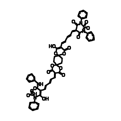 O=C1OC2(CCC3(CC2)OC(=O)C(/C=C/C=C/C=C2C(=O)N(c4ccccc4)S(=O)(=O)N(c4ccccc4)C2=O)=C(O)O3)OC(=O)C1=C/C=C/C=C/C(C(=O)Nc1ccccc1)=C(\O)N(c1ccccc1)[SH](=O)=O